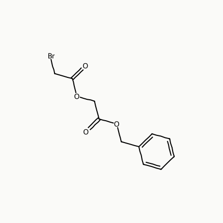 O=C(CBr)OCC(=O)OCc1ccccc1